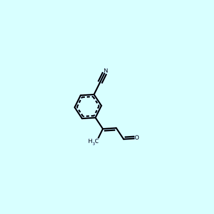 CC(=CC=O)c1cccc(C#N)c1